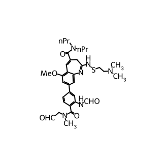 CCCN(CCC)C(=O)C1=Cc2c(cc(-c3ccc(C(=O)N(C)CC=O)c(NC=O)c3)cc2OC)N=C(NSCCN(C)C)C1